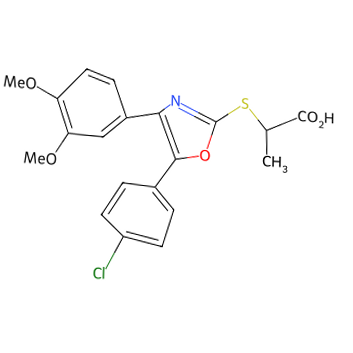 COc1ccc(-c2nc(SC(C)C(=O)O)oc2-c2ccc(Cl)cc2)cc1OC